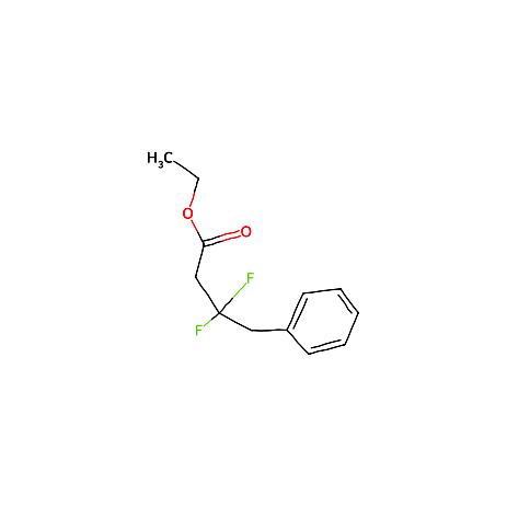 CCOC(=O)CC(F)(F)Cc1ccccc1